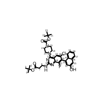 CC(C)(C)OC(=O)CCNc1nc(N2CCN(C(=O)OC(C)(C)C)CC2)c2cc(Cl)c(-c3cc(O)cc4ccccc34)c(F)c2n1